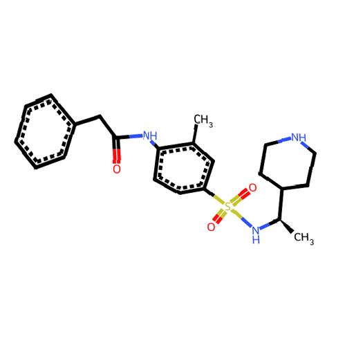 Cc1cc(S(=O)(=O)N[C@H](C)C2CCNCC2)ccc1NC(=O)Cc1ccccc1